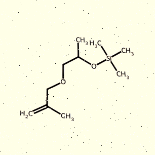 C=C(C)COCC(C)O[Si](C)(C)C